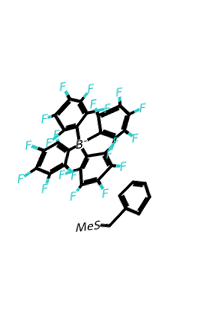 C[SH+]Cc1ccccc1.Fc1c(F)c(F)c([B-](c2c(F)c(F)c(F)c(F)c2F)(c2c(F)c(F)c(F)c(F)c2F)c2c(F)c(F)c(F)c(F)c2F)c(F)c1F